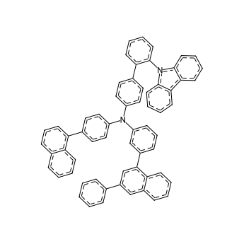 c1ccc(-c2cc(-c3cccc(N(c4ccc(-c5ccccc5-n5c6ccccc6c6ccccc65)cc4)c4ccc(-c5cccc6ccccc56)cc4)c3)c3ccccc3c2)cc1